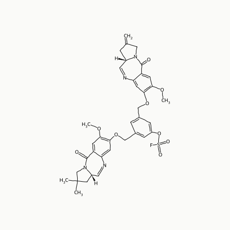 C=C1C[C@H]2C=Nc3cc(OCc4cc(COc5cc6c(cc5OC)C(=O)N5CC(C)(C)C[C@H]5C=N6)cc(OS(=O)(=O)F)c4)c(OC)cc3C(=O)N2C1